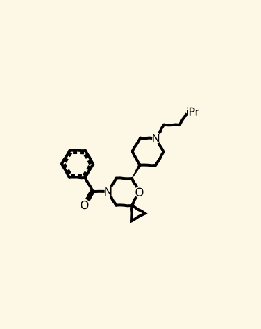 CC(C)CCN1CCC([C@@H]2CN(C(=O)c3ccccc3)CC3(CC3)O2)CC1